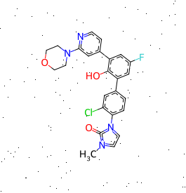 Cn1ccn(-c2ccc(-c3cc(F)cc(-c4ccnc(N5CCOCC5)c4)c3O)cc2Cl)c1=O